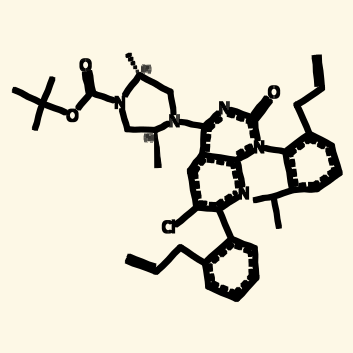 C=CCc1ccccc1-c1nc2c(cc1Cl)c(N1C[C@@H](C)N(C(=O)OC(C)(C)C)C[C@@H]1C)nc(=O)n2-c1c(CC=C)cccc1C(C)C